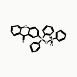 O=S(=O)(OS(c1ccccc1)(c1ccccc1)c1ccc2oc3ccccc3c(=S)c2c1)c1ccccc1